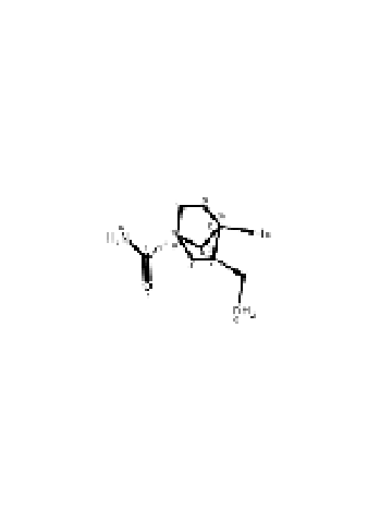 NC[C@H]1[CH][C@@]2(C(N)=O)CC[C@H]1C2